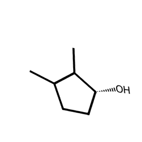 CC1CC[C@@H](O)C1C